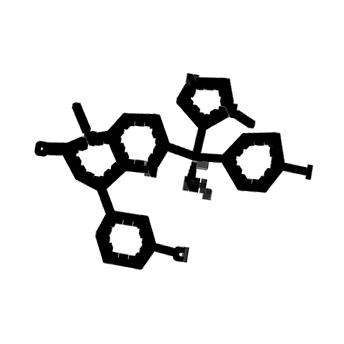 Cn1cncc1[C@@](N)(c1ccc(I)cc1)c1ccc2c(n1)c(-c1cccc(Cl)c1)cc(=O)n2C